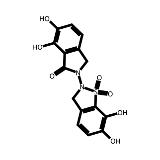 O=C1c2c(ccc(O)c2O)CN1N1Cc2ccc(O)c(O)c2S1(=O)=O